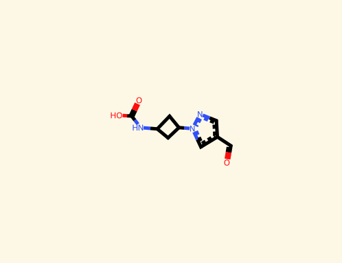 O=Cc1cnn(C2CC(NC(=O)O)C2)c1